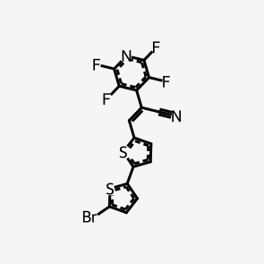 N#CC(=Cc1ccc(-c2ccc(Br)s2)s1)c1c(F)c(F)nc(F)c1F